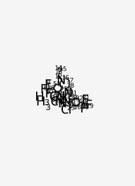 Cc1cc2c(cc1C(F)(F)F)N(CC1CC1)CCCC2N(Cc1cc(Cl)cc(C(F)(F)F)c1)c1nnn(C)n1